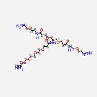 [N-]=[N+]=NCCOCCNC(=O)CCOCC(COCCC(=O)NCCOCCN)NC(=O)CCOCCOCCOCCOCCN